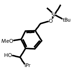 COc1cc(CO[Si](C)(C)C(C)(C)C)ccc1C(O)C(C)C